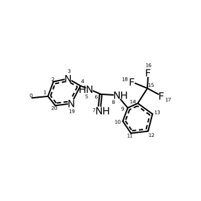 Cc1cnc(NC(=N)Nc2ccccc2C(F)(F)F)nc1